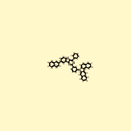 c1ccc(-c2nc(-c3cccc(-n4c5cc6ccccc6cc5c5c6ccccc6ccc54)c3)nc3c2sc2ccc(-c4ccc5ccccc5c4)cc23)cc1